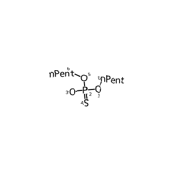 CCCCCOP([O])(=S)OCCCCC